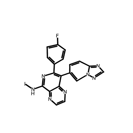 Fc1ccc(-c2nc(NI)c3nccnc3c2-c2ccc3ncnn3c2)cc1